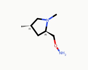 C[C@H]1C[C@H](CON)N(C)C1